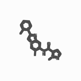 Cc1cn2cc(-c3ccccc3C)nc2cc1NC(=O)c1ccnn1C